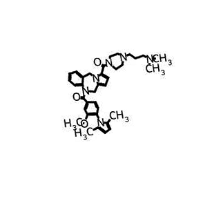 COc1cc(C(=O)N2Cc3ccc(C(=O)N4CCN(CCCN(C)C)CC4)n3Cc3ccccc32)ccc1-n1c(C)ccc1C